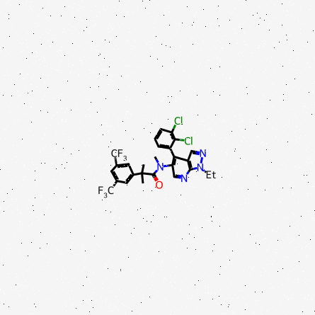 CCn1ncc2c(-c3cccc(Cl)c3Cl)c(N(C)C(=O)C(C)(C)c3cc(C(F)(F)F)cc(C(F)(F)F)c3)cnc21